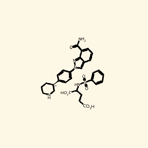 NC(=O)c1cccc2cn(-c3ccc([C@@H]4CCCNC4)cc3)nc12.O=C(O)CCC(NS(=O)(=O)c1ccccc1)C(=O)O